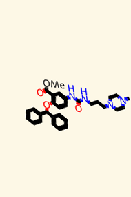 COC(=O)c1cc(NC(=O)NCCCN2CCN(C)CC2)ccc1OC(c1ccccc1)c1ccccc1